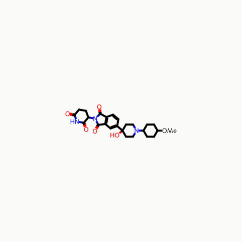 COC1CCC(N2CCC(O)(c3ccc4c(c3)C(=O)N(C3CCC(=O)NC3=O)C4=O)CC2)CC1